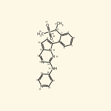 CN(c1ccccc1-c1ccc2cnc(Nc3ccncc3)nn12)S(C)(=O)=O